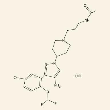 CC(=O)NCCCN1CCC(n2cc(N)c(-c3cc(Cl)ccc3OC(F)F)n2)CC1.Cl